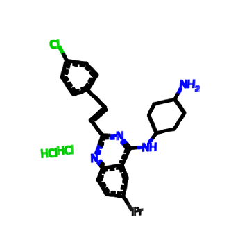 CC(C)c1ccc2nc(C=Cc3ccc(Cl)cc3)nc(NC3CCC(N)CC3)c2c1.Cl.Cl